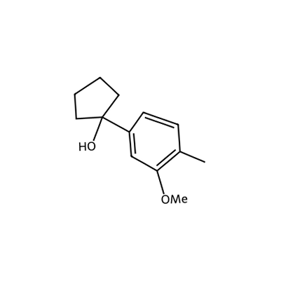 COc1cc(C2(O)CCCC2)ccc1C